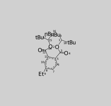 CCCCC(OC(=O)c1ccc(CC)cc1C(=O)OC(CCCC)C(C)(C)C)C(C)(C)C